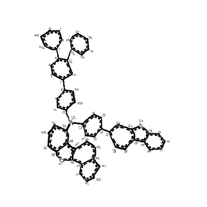 c1ccc(-c2ccc(-c3ccc(N(c4ccc(-c5ccc6c(c5)sc5ccccc56)cc4)c4cccc5oc6c7ccccc7ccc6c45)cc3)cc2-c2ccccc2)cc1